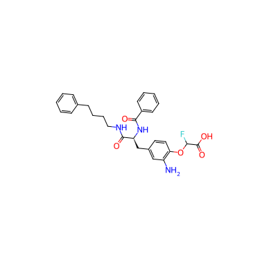 Nc1cc(C[C@H](NC(=O)c2ccccc2)C(=O)NCCCCc2ccccc2)ccc1OC(F)C(=O)O